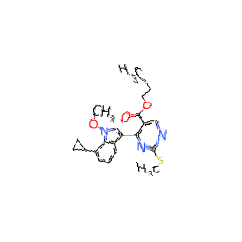 CCCOC(=O)c1cnc(SC)nc1-c1cn(OC)c2c(C3CC3)cccc12